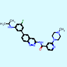 CC(C)Nc1cc(F)cc(-c2ccc3nnc(NC(=O)c4ccnc(N5CCN(C)CC5)c4)cc3c2)c1